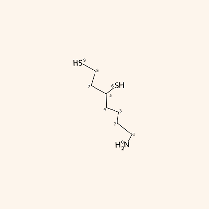 NCCCCC(S)CCS